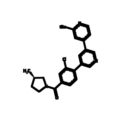 C[C@H]1CCN(C(=O)c2ccc(-c3cncc(-c4ccnc(C(C)(C)C)c4)c3)c(Cl)c2)C1